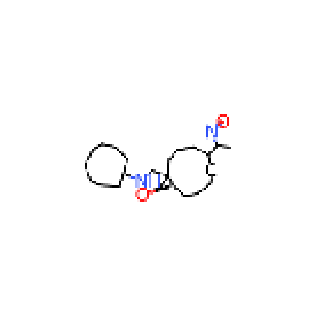 CC(N=O)C1CCCCC2C(=O)C2(CNC2CCCCCCCC2)CCC1